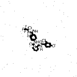 N=C(NC(=O)C(F)(F)F)c1ccc(NC(=O)N2CCCCC2CNC(=O)c2ccc(Cl)cc2Cl)cc1